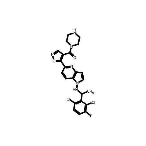 CC(Nn1ccc2nc(-c3oncc3C(=O)N3CCNCC3)ccc21)c1c(Cl)ccc(F)c1Cl